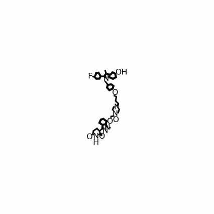 Cc1c(-c2ccc(F)cc2)n(Cc2ccc(OCCCCN3CCN(C(=O)COc4cccc5c(C6CCC(=O)NC6=O)nn(C)c45)CC3)cc2)c2ccc(O)cc12